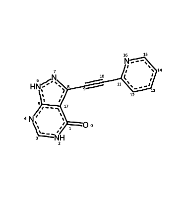 O=c1[nH]cnc2[nH]nc(C#Cc3ccccn3)c12